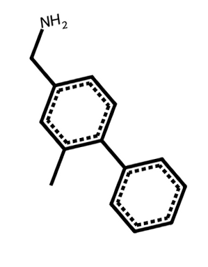 Cc1cc(CN)ccc1-c1ccccc1